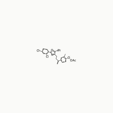 C=C(CCc1nc(-c2ccc(Cl)cc2Cl)oc1C(C)C)c1ccc(OOC(C)=O)c(C)c1